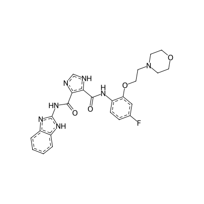 O=C(Nc1nc2ccccc2[nH]1)c1nc[nH]c1C(=O)Nc1ccc(F)cc1OCCN1CCOCC1